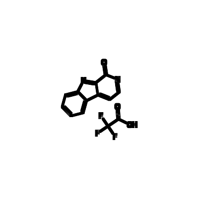 O=C(O)C(F)(F)F.O=C1N=CC=C2C1=Nc1ccccc12